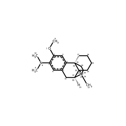 COc1cc2c(cc1N(C)C)C[C@H]1[C@H]3CCCC[C@@]23CCN1C